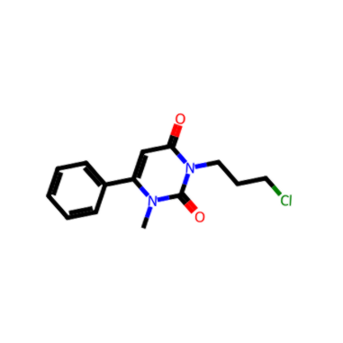 Cn1c(-c2ccccc2)cc(=O)n(CCCCl)c1=O